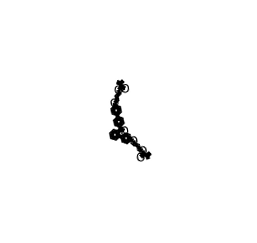 C=C(C)C(=O)OCCCOc1ccc(-c2ccc(C(=O)c3ccccc3-c3ccc(OCCCOC(=O)C(=C)C)cc3)cc2)cc1